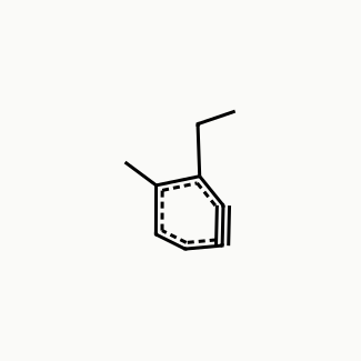 CCc1c#cccc1C